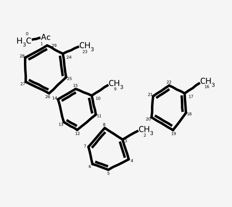 CC(C)=O.Cc1ccccc1.Cc1ccccc1.Cc1ccccc1.Cc1ccccc1